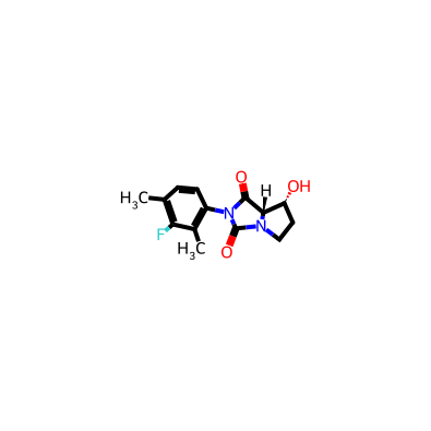 Cc1ccc(N2C(=O)[C@@H]3[C@H](O)CCN3C2=O)c(C)c1F